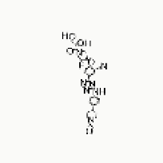 N#Cc1cc(-c2ncnc(Nc3ccc(C4CCN(C5COC5)CC4)cc3)n2)ccc1O[C@H]1CCN(C(=O)C(O)CO)C[C@H]1F